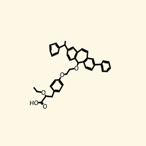 CCOC(Cc1ccc(OCCOC2c3ccc(-c4ccccc4)cc3C=Cc3cc(C(C)c4ccccc4)ccc32)cc1)C(=O)O